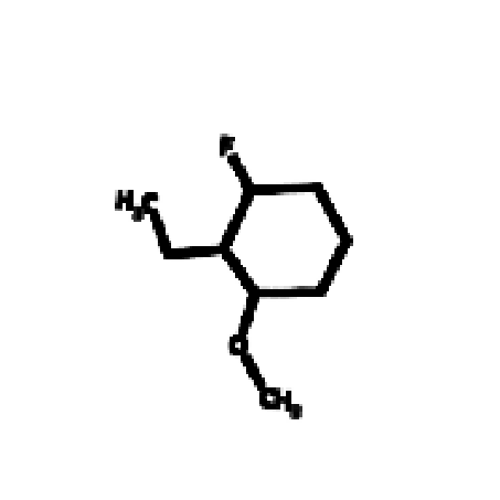 CCC1C(F)CCCC1OC